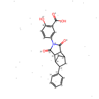 O=C(O)c1cc(N2C(=O)C3C4CC(c5ccccc5)C(C4)C3C2=O)ccc1O